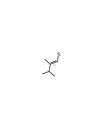 C/C(=C\[S])C(C)C